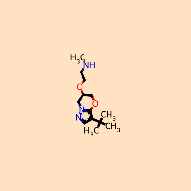 CNCCOC1COc2c(C(C)(C)C)cnn2C1